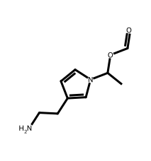 CC(OC=O)n1ccc(CCN)c1